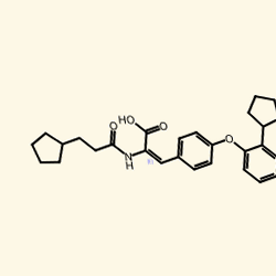 O=C(CCC1CCCC1)N/C(=C/c1ccc(Oc2ccccc2C2CCCC2)cc1)C(=O)O